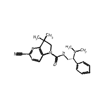 CN(C)[C@@H](CNC(=O)N1CC(C)(C)c2nc(C#N)ccc21)c1ccccc1